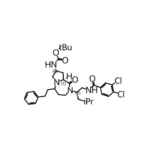 CC(C)C[C@H](CNC(=O)c1ccc(Cl)c(Cl)c1)N1CCC(CCc2ccccc2)N2C[C@H](NC(=O)OC(C)(C)C)C[C@H]2C1=O